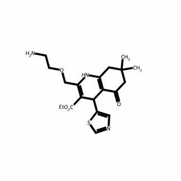 CCOC(=O)C1=C(COCCN)NC2=C(C(=O)CC(C)(C)C2)C1c1cncs1